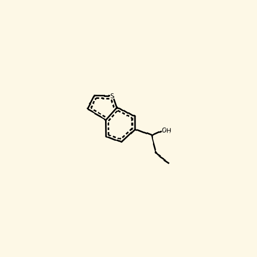 CCC(O)c1ccc2ccsc2c1